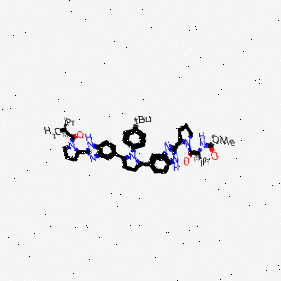 COC(=O)N[C@H](C(=O)N1CCCC1c1nc2cc(C3CCC(c4ccc5[nH]c(C6CCCN6C(=O)[C@@H](C)C(C)C)nc5c4)N3c3ccc(C(C)(C)C)cc3)ccc2[nH]1)C(C)C